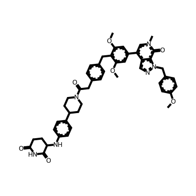 COc1ccc(Cn2ncc3c(-c4cc(OC)c(Cc5ccc(CC(=O)N6CCC(c7ccc(NC8CCC(=O)NC8=O)cc7)CC6)cc5)c(OC)c4)cn(C)c(=O)c32)cc1